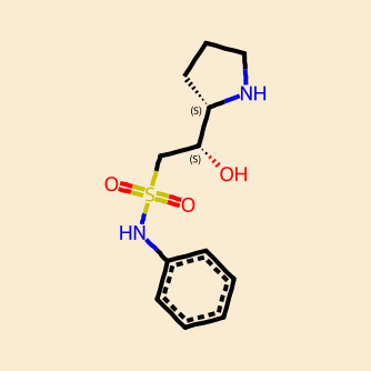 O=S(=O)(C[C@@H](O)[C@@H]1CCCN1)Nc1ccccc1